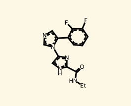 CCNC(=O)c1nc(-n2cncc2-c2cccc(F)c2F)c[nH]1